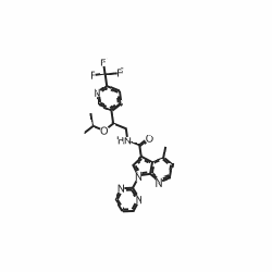 Cc1ccnc2c1c(C(=O)NCC(OC(C)C)c1ccc(C(F)(F)F)nc1)cn2-c1ncccn1